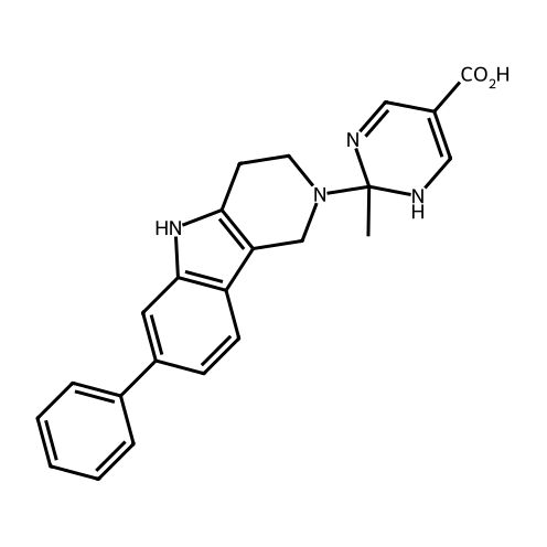 CC1(N2CCc3[nH]c4cc(-c5ccccc5)ccc4c3C2)N=CC(C(=O)O)=CN1